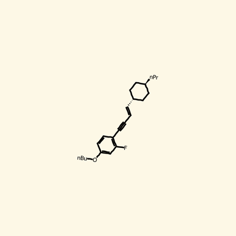 CCCCOc1ccc(C#C/C=C/[C@H]2CC[C@H](CCC)CC2)c(F)c1